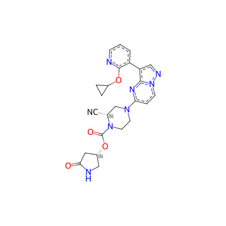 N#C[C@@H]1CN(c2ccn3ncc(-c4cccnc4OC4CC4)c3n2)CCN1C(=O)O[C@@H]1CNC(=O)C1